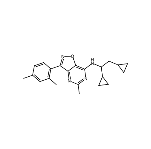 Cc1ccc(-c2noc3c(NC(CC4CC4)C4CC4)nc(C)nc23)c(C)c1